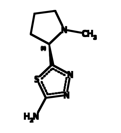 CN1CCC[C@@H]1c1nnc(N)s1